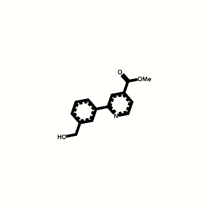 COC(=O)c1ccnc(-c2cccc(CO)c2)c1